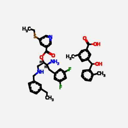 CCSc1cncc(C(=O)O[C@H](CNCc2cccc(CC)c2)[C@@H](N)Cc2cc(F)cc(F)c2)c1.Cc1cc(C(=O)O)cc(C(O)c2ccccc2C)c1